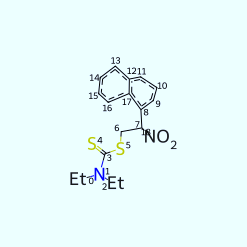 CCN(CC)C(=S)SCC(c1cccc2ccccc12)[N+](=O)[O-]